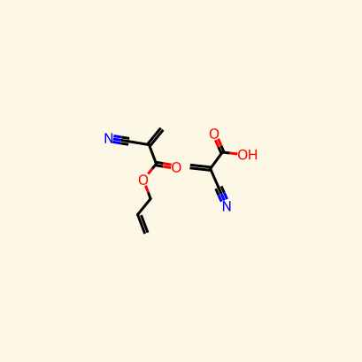 C=C(C#N)C(=O)O.C=CCOC(=O)C(=C)C#N